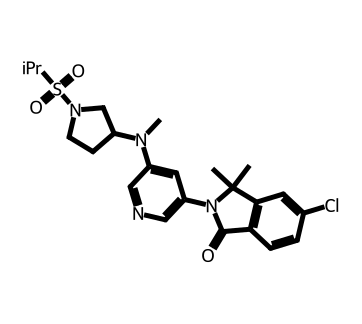 CC(C)S(=O)(=O)N1CCC(N(C)c2cncc(N3C(=O)c4ccc(Cl)cc4C3(C)C)c2)C1